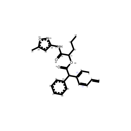 C=C/C=C\C(=C/C)C(C(=O)OC(CCC)C(=O)Nc1cc(C)on1)c1ccccc1